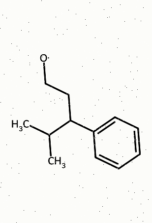 CC(C)C(CC[O])c1ccccc1